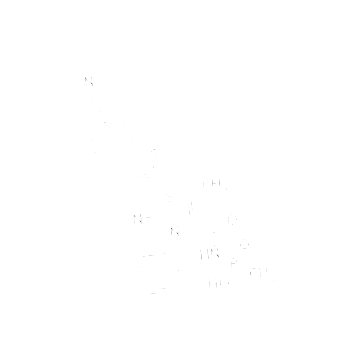 Cc1sc(N(Cc2ccccc2)Cc2csc3cc(C#N)ccc23)nc1C(=O)NP(C)(=O)O